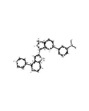 CN(C)c1cncc(-c2ccc3[nH]nc(-c4cc5c(-c6ccncc6)nccc5[nH]4)c3n2)c1